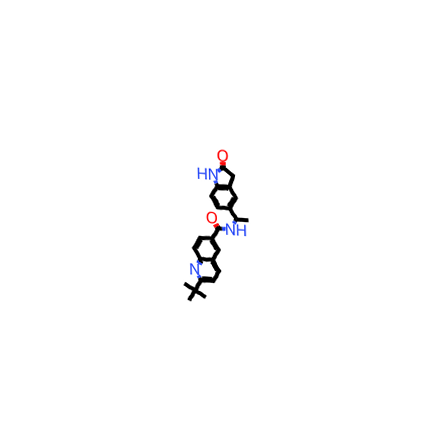 CC(NC(=O)c1ccc2nc(C(C)(C)C)ccc2c1)c1ccc2c(c1)CC(=O)N2